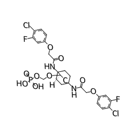 O=C(COc1ccc(Cl)c(F)c1)NC12CCC(NC(=O)COc3ccc(Cl)c(F)c3)(CC1)[C@H](OCOP(=O)(O)O)C2